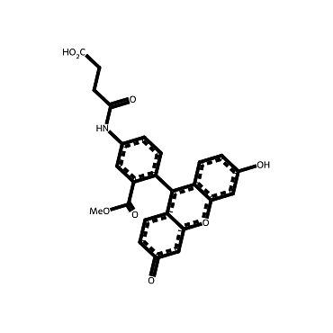 COC(=O)c1cc(NC(=O)CCC(=O)O)ccc1-c1c2ccc(=O)cc-2oc2cc(O)ccc12